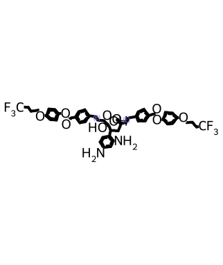 Nc1ccc(C(CC(=O)/C=C/c2ccc(C(=O)Oc3ccc(OCCCC(F)(F)F)cc3)cc2)C(O)(O)C(=O)/C=C/c2ccc(C(=O)Oc3ccc(OCCCC(F)(F)F)cc3)cc2)c(N)c1